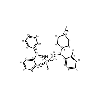 CC(=O)N1CCN(C(C#N)c2cccnc2C)CC1.CS(=O)(=O)NC(c1ccccc1)c1ccccc1